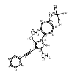 COc1c(C#Cc2ccccn2)c(C)nn1-c1ccc(OC(F)(F)F)cc1